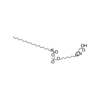 CCCCCCCCCCCCCCCCCCN(C)C(=O)OCC(C)(COCCCCCCCn1cnc(CC(=O)O)c1)OC